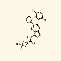 CC1(O)CN(C(=O)Nc2cnc3ccc(N4CCC[C@@H]4c4cc(F)ccc4F)nn23)C1